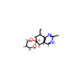 Cc1ncc2c(n1)C(C)CC1(C2)OCCCO1